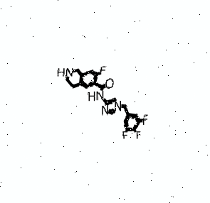 O=C(Nc1cn(Cc2cc(F)c(F)c(F)c2)cn1)c1cc2c(cc1F)CNCC2